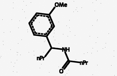 CCCC(=O)NC(CCC)c1cccc(OC)c1